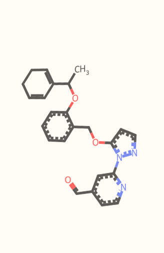 CC(Oc1ccccc1COc1ccnn1-c1cc(C=O)ccn1)C1=CCCC=C1